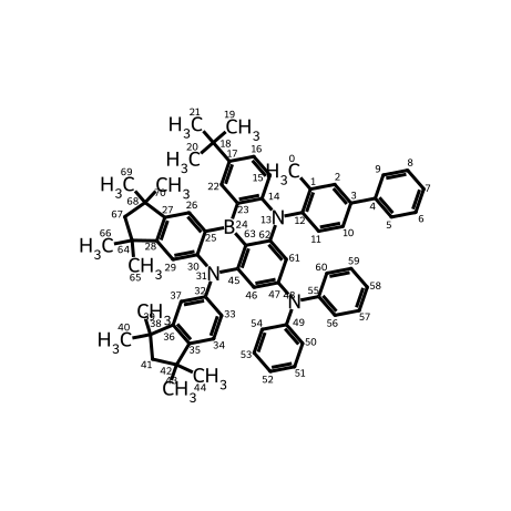 Cc1cc(-c2ccccc2)ccc1N1c2ccc(C(C)(C)C)cc2B2c3cc4c(cc3N(c3ccc5c(c3)C(C)(C)CC5(C)C)c3cc(N(c5ccccc5)c5ccccc5)cc1c32)C(C)(C)CC4(C)C